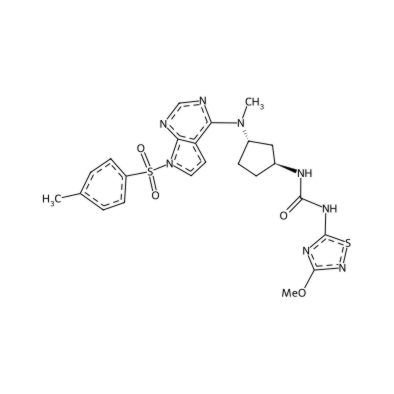 COc1nsc(NC(=O)N[C@H]2CC[C@H](N(C)c3ncnc4c3ccn4S(=O)(=O)c3ccc(C)cc3)C2)n1